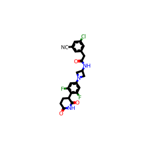 N#Cc1cc(Cl)cc(CC(=O)NC2CN(c3cc(F)c(C4CCC(=O)NC4=O)c(F)c3)C2)c1